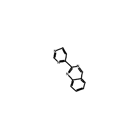 [c]1nc(-c2ccncn2)nc2ccccc12